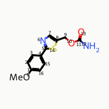 COc1ccc(-c2ncc(COC(N)=O)s2)cc1